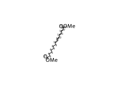 COC(=O)CCCCCCCCCCCCCCCC(=O)OC